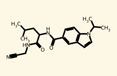 CC(C)CC(NC(=O)c1ccc2c(ccn2C(C)C)c1)C(=O)NCC#N